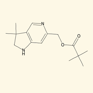 CC(C)(C)C(=O)OCc1cc2c(cn1)C(C)(C)CN2